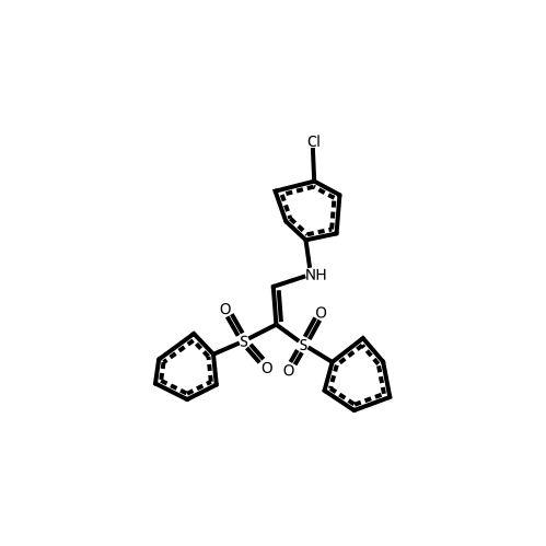 O=S(=O)(C(=CNc1ccc(Cl)cc1)S(=O)(=O)c1ccccc1)c1ccccc1